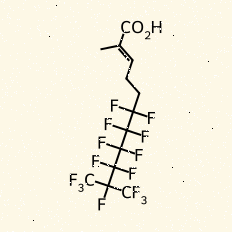 CC(=CCCC(F)(F)C(F)(F)C(F)(F)C(F)(F)C(F)(C(F)(F)F)C(F)(F)F)C(=O)O